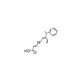 C=C\C(=C/C=N/C=C/C(=O)O)C(C)c1ccccc1